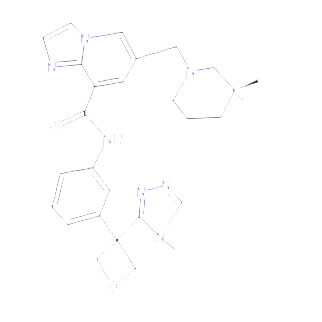 C[C@H]1CCCN(Cc2cc(C(=O)Nc3cccc(C4(c5nncn5C)COC4)c3)c3nccn3c2)C1